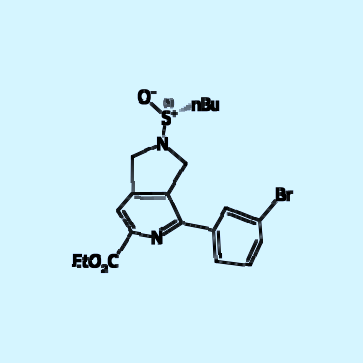 CCCC[S@@+]([O-])N1Cc2cc(C(=O)OCC)nc(-c3cccc(Br)c3)c2C1